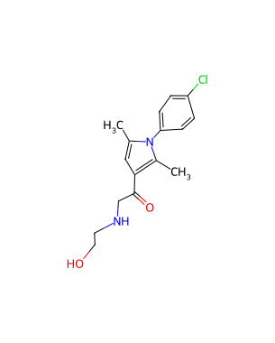 Cc1cc(C(=O)CNCCO)c(C)n1-c1ccc(Cl)cc1